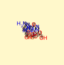 Nc1nc2c(ncn2[C@@H]2O[C@H](CO)C[C@H]2O[P@](=O)(S)OC[C@H]2O[C@@H](n3ccc4c(N)ncnc43)C[C@@H]2O)c(=O)[nH]1